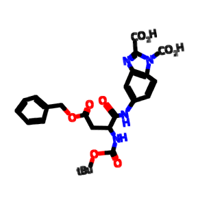 CC(C)(C)OC(=O)NC(CC(=O)OCc1ccccc1)C(=O)Nc1ccc2c(c1)nc(C(=O)O)n2C(=O)O